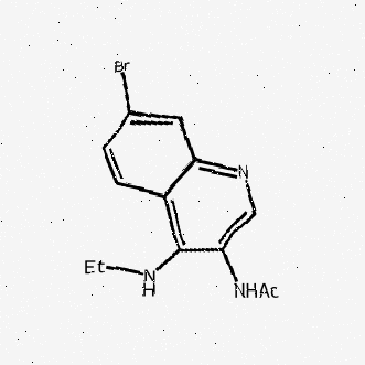 [CH2]C(=O)Nc1cnc2cc(Br)ccc2c1NCC